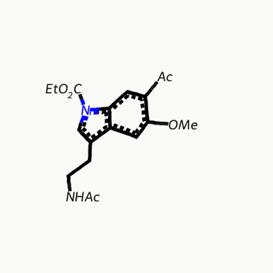 CCOC(=O)n1cc(CCNC(C)=O)c2cc(OC)c(C(C)=O)cc21